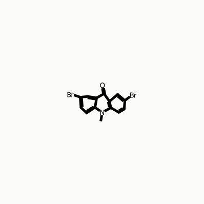 Cn1c2ccc(Br)cc2c(=O)c2cc(Br)ccc21